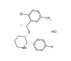 C[C@@H](O[C@H]1CCCN[C@H]1c1ccc(F)cc1)c1cc(C(F)(F)F)ccc1Cl.Cl